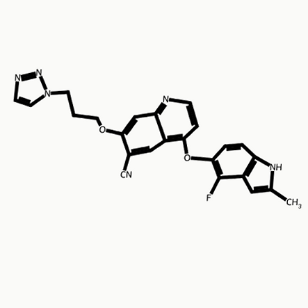 Cc1cc2c(F)c(Oc3ccnc4cc(OCCCn5ccnn5)c(C#N)cc34)ccc2[nH]1